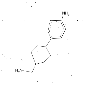 NCC1CCC(c2ccc(N)cc2)CC1